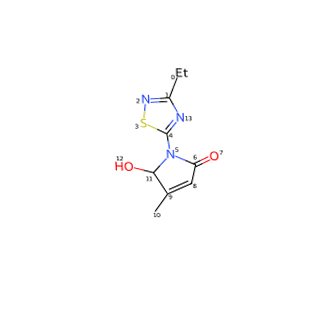 CCc1nsc(N2C(=O)C=C(C)C2O)n1